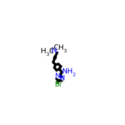 CN(C)CC#CCC1CCC(C(N)c2ncc(Br)cn2)CC1